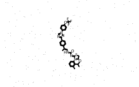 C/C(=C\NC(=O)/N=C1\SCC(=O)N1c1cccc(C)c1C(C)C)c1ccc(-c2ncn(-c3ccc(OC(F)(F)F)cc3)n2)cc1